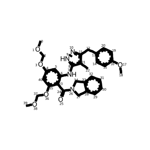 COCOc1cc(Nc2[nH]nc(Cc3ccc(OC)cc3)c2C)c(C(=O)N2Cc3ccccc3C2)c(OCOC)c1